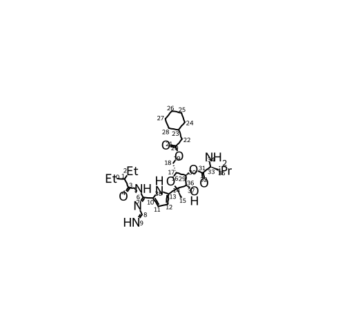 CCC(CC)C(=O)N/C(=N/C=N)c1ccc([C@]2(C)O[C@H](COC(=O)CC3CCCCC3)[C@@H](OC(=O)[C@@H](N)C(C)C)[C@H]2O)[nH]1